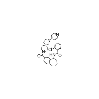 O=C(NC1CCCCc2ccc(C(=O)N3CCC4(CC3)CCN(c3ccncc3)C4)cc21)c1ccccc1Cl